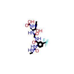 CC#C[C@H](O)[C@H](CNC(=O)O)NC(=O)CNC(=O)c1cc(C(F)(F)F)ccc1NC(=O)NCC